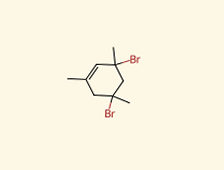 CC1=CC(C)(Br)CC(C)(Br)C1